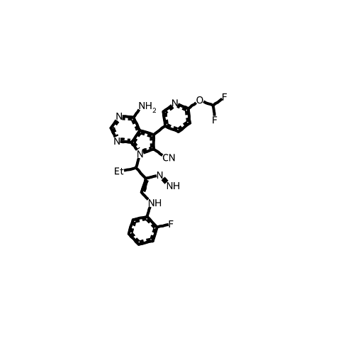 CCC(/C(=C/Nc1ccccc1F)N=N)n1c(C#N)c(-c2ccc(OC(F)F)nc2)c2c(N)ncnc21